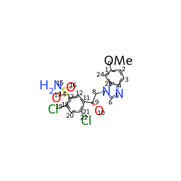 COc1ccc2ncn(CC(=O)c3cc(S(N)(=O)=O)c(Cl)cc3Cl)c2c1